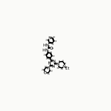 CCN1CCCN(c2nc(-c3ccc(NC(=O)Nc4cccnc4)cc3)nc(N3CCOCC3)n2)CC1